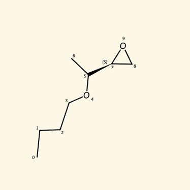 CCCCOC(C)[C@@H]1CO1